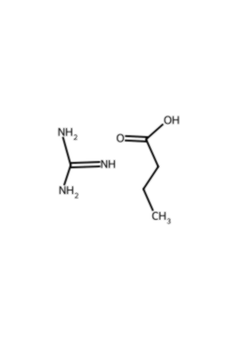 CCCC(=O)O.N=C(N)N